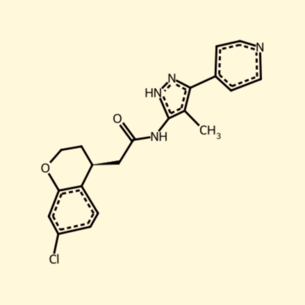 Cc1c(-c2ccncc2)n[nH]c1NC(=O)C[C@@H]1CCOc2cc(Cl)ccc21